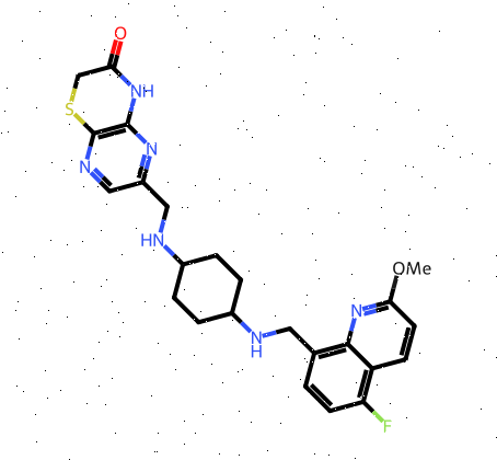 COc1ccc2c(F)ccc(CNC3CCC(NCc4cnc5c(n4)NC(=O)CS5)CC3)c2n1